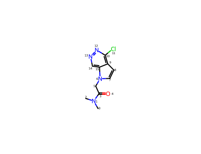 CN(C)C(=O)Cn1ccc2c(Cl)nncc21